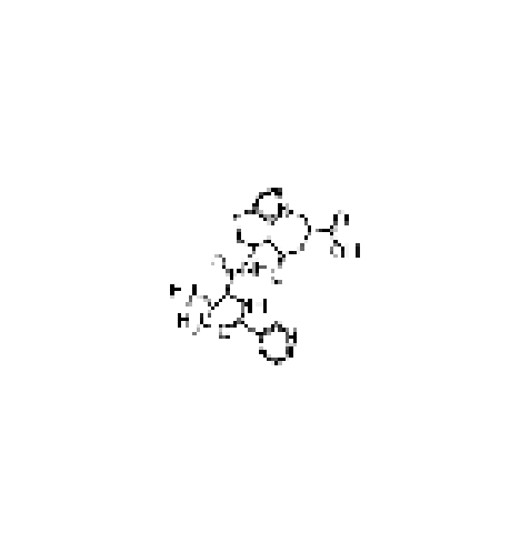 CC(C)C(NC(=O)c1cccnc1)C(=O)N[C@H]1CCc2ccn3c2C1C(=O)C[C@H](C(=O)O)C3